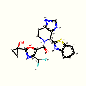 O=C(c1oc(C2(O)CC2)nc1C(F)F)N1CCc2[nH]cnc2[C@H]1c1nc2ccccc2s1